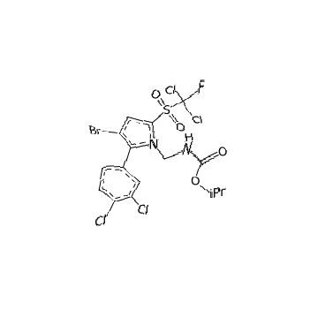 CC(C)OC(=O)NCn1c(S(=O)(=O)C(F)(Cl)Cl)cc(Br)c1-c1ccc(Cl)c(Cl)c1